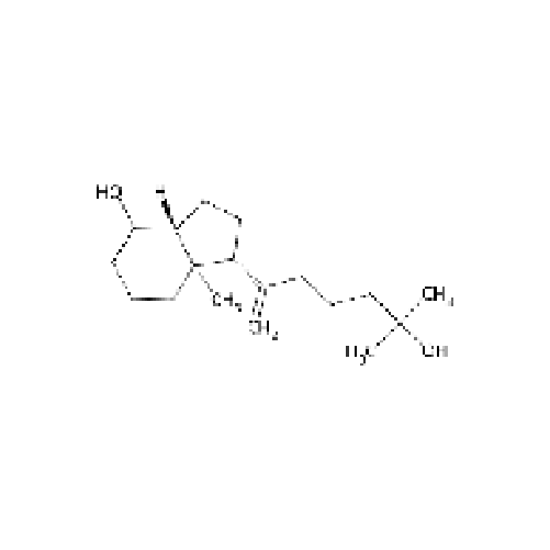 C=C(CCCC(C)(C)O)[C@H]1CC[C@H]2C(O)CCC[C@]12C